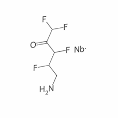 NCC(F)C(F)C(=O)C(F)F.[Nb]